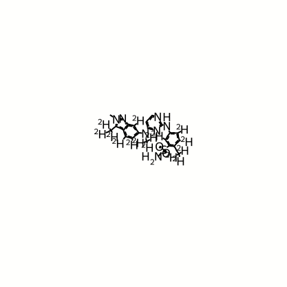 [2H]c1c([2H])c(C([2H])([2H])[2H])c(S(N)(=O)=O)c([2H])c1Nc1nccc(N(c2c([2H])c([2H])c3c(C([2H])([2H])[2H])n(C)nc3c2[2H])C([2H])([2H])[2H])n1